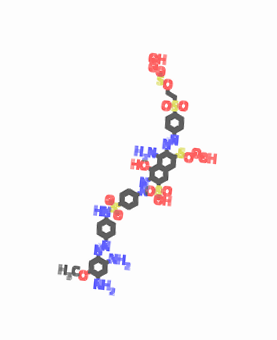 COc1cc(/N=N/c2ccc(NS(=O)(=O)c3ccc(/N=N/c4c(S(=O)(=O)O)cc5cc(SOOO)c(/N=N/c6ccc(S(=O)(=O)CCOSOOO)cc6)c(N)c5c4O)cc3)cc2)c(N)cc1N